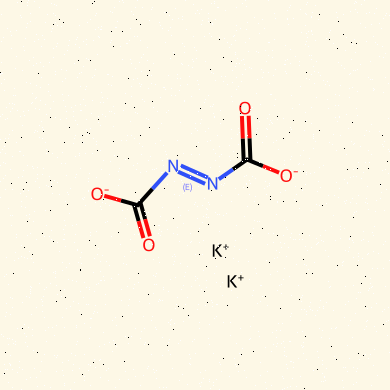 O=C([O-])/N=N/C(=O)[O-].[K+].[K+]